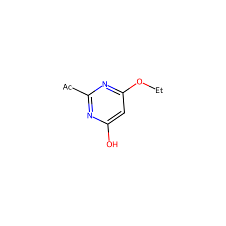 CCOc1cc(O)nc(C(C)=O)n1